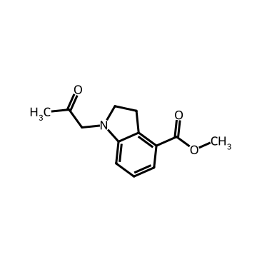 COC(=O)c1cccc2c1CCN2CC(C)=O